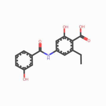 CCc1cc(NC(=O)c2cccc(O)c2)cc(O)c1C(=O)O